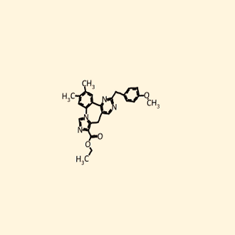 CCOC(=O)c1ncn2c1Cc1cnc(Cc3ccc(OC)cc3)nc1-c1cc(C)c(C)cc1-2